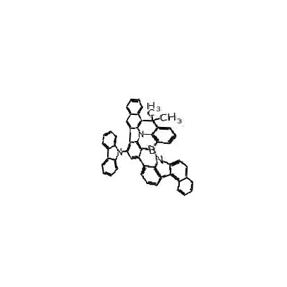 CC1(C)c2cccc3c2-n2c4c1c1ccccc1cc4c1c(-n4c5ccccc5c5ccccc54)cc4c(c12)B3n1c2ccc3ccccc3c2c2cccc-4c21